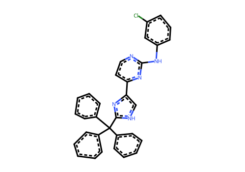 Clc1cccc(Nc2nccc(-c3c[nH]c(C(c4ccccc4)(c4ccccc4)c4ccccc4)n3)n2)c1